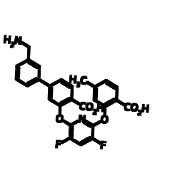 Cc1ccc(C(=O)O)c(Oc2nc(Oc3cc(-c4cccc(CN)c4)ccc3C(=O)O)c(F)cc2F)c1